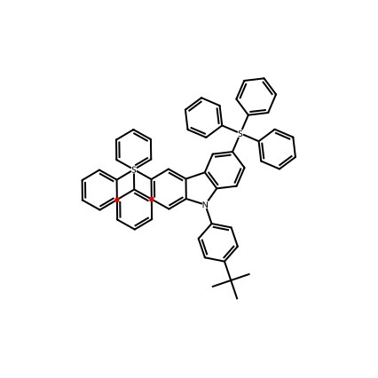 CC(C)(C)c1ccc(-n2c3ccc(S(c4ccccc4)(c4ccccc4)c4ccccc4)cc3c3cc(S4(c5ccccc5)(c5ccccc5)=CC=CC=C4)ccc32)cc1